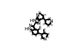 Cc1ccncc1-c1ccc2[nH]nc(-c3nc4c(-c5cccnc5)ccnc4[nH]3)c2c1F